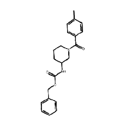 Cc1ccc(C(=O)N2CCCC(NC(=O)OCc3ccccc3)C2)cc1